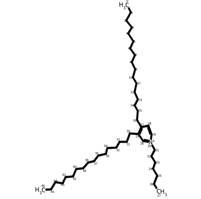 CCCCCCCCCCCCCCCCCc1cc[n+](CCCCCCC)cc1CCCCCCCCCCCCCCCCC